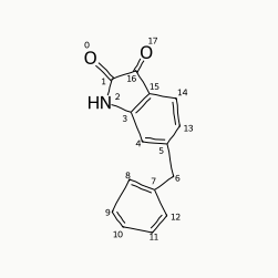 O=C1Nc2cc(Cc3ccccc3)ccc2C1=O